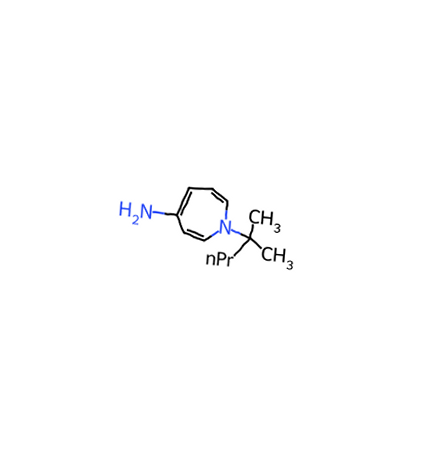 CCCC(C)(C)N1C=CC=C(N)C=C1